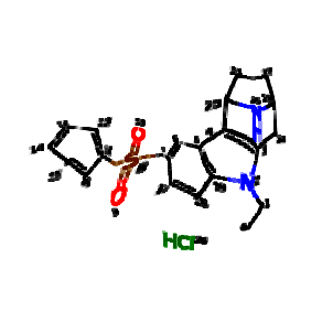 CCn1c2c(c3cc(S(=O)(=O)c4ccccc4)ccc31)C1CCC(C2)N1.Cl